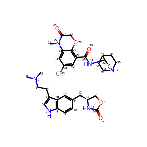 CN(C)CCc1c[nH]c2ccc(C[C@H]3COC(=O)N3)cc12.CN1C(=O)COc2c(C(=O)NC3CN4CCC3CC4)cc(Cl)cc21